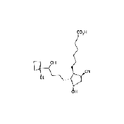 CCC1(C(O)CCC[C@@H]2[C@@H](CCCCCCC(=O)O)[C@@H](C#N)C[C@H]2O)CCC1